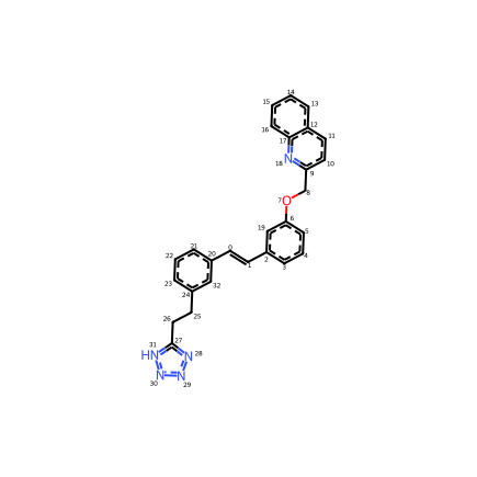 C(=Cc1cccc(OCc2ccc3ccccc3n2)c1)c1cccc(CCc2nnn[nH]2)c1